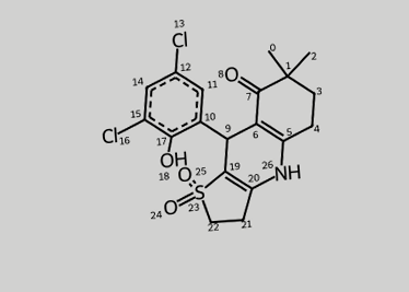 CC1(C)CCC2=C(C1=O)C(c1cc(Cl)cc(Cl)c1O)C1=C(CCS1(=O)=O)N2